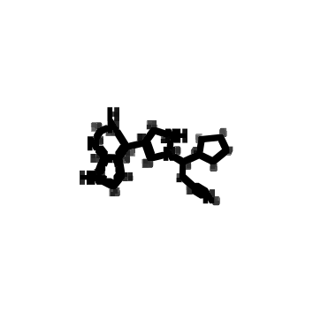 N#CCC(C1CCCC1)N1C=C(C2=c3cc[nH]c3=NCN2)CN1